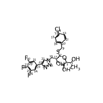 C[C@@H](O)C(CO)OC(SCc1ccc(Cl)cc1)[C@@H](O)Cn1cc(-c2cc(F)c(F)c(F)c2)nn1